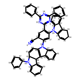 N#Cc1cc(-c2nc(-c3ccccc3)nc(-c3ccccc3)n2)c(-n2c3c(c4ccccc42)CCC=C3)cc1-n1c2c(c3ccccc31)C1c3ccccc3N(c3ccccc3)C1C=C2